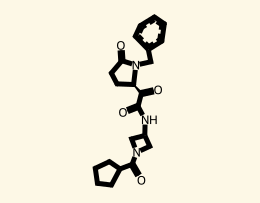 O=C(NC1CN(C(=O)C2CCCC2)C1)C(=O)[C@H]1CCC(=O)N1Cc1ccccc1